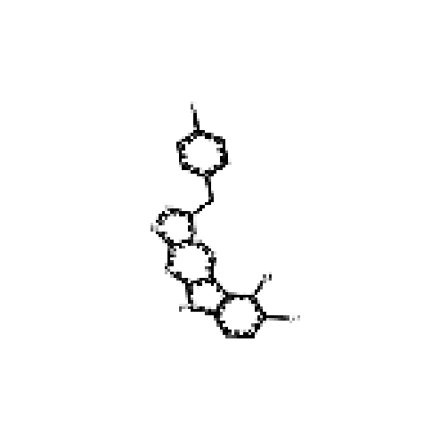 Oc1ccc2[nH]c3nc4nnc(Cc5ccc(F)cc5)n4nc3c2c1Cl